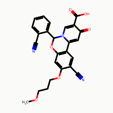 COCCCOc1cc2c(cc1C#N)-c1cc(=O)c(C(=O)O)cn1C(c1ccccc1C#N)O2